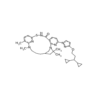 Cc1ccc2nc1N(C)CCCC1CN(c3nc(-n4ccc(OCCC(C5CC5)C5CC5)n4)ccc3C(=O)NS2)C(C)(C)C1